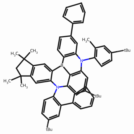 Cc1cc(C(C)(C)C)ccc1N1c2cc(-c3ccccc3)ccc2B2c3cc4c(cc3N(c3ccc(C(C)(C)C)cc3-c3ccccc3)c3cc(C(C)(C)C)cc1c32)C(C)(C)CC4(C)C